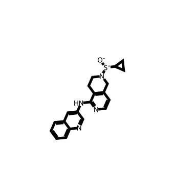 [O-][S+](C1CC1)N1CCc2c(ccnc2Nc2cnc3ccccc3c2)C1